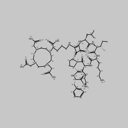 CC[C@H](C)[C@H](NC(=O)[C@H](CC(C)C)Nc1c(NCCCC(C(=O)O)N2CCN(CC(=O)O)CCN(CC(=O)O)CCN(CC(=O)O)CC2)c(=O)c1=O)C(=O)N[C@@H](CCCCN)C(=O)N[C@@H](CCCCN)C(=O)N1CCC[C@H]1C(=O)N[C@@H](Cc1ccccc1)C(=O)O